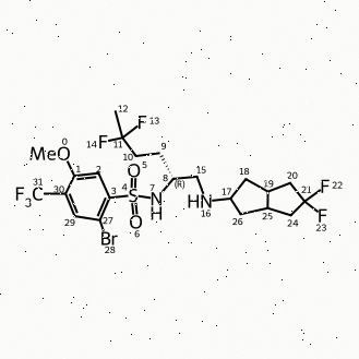 COc1cc(S(=O)(=O)N[C@H](CCC(C)(F)F)CNC2CC3CC(F)(F)CC3C2)c(Br)cc1C(F)(F)F